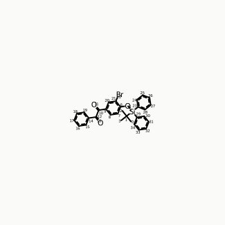 CC(C)(C)[Si](Oc1ccc(C(=O)C(=O)c2ccccc2)cc1Br)(c1ccccc1)c1ccccc1